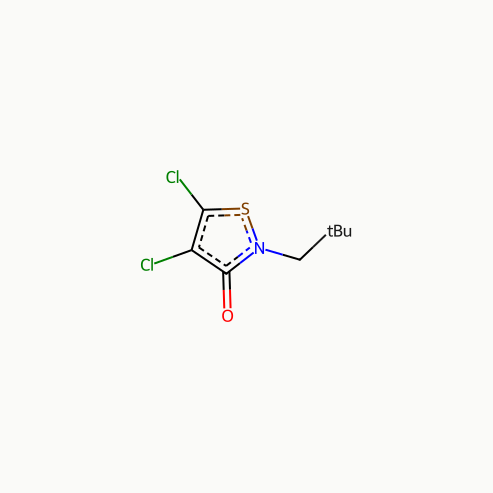 CC(C)(C)Cn1sc(Cl)c(Cl)c1=O